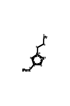 CCCC(C)c1cnn(CCC(C)C)c1